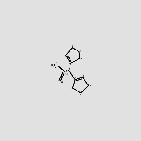 C1=C(OC2=CCCC2)CCC1.C=CC(=O)O